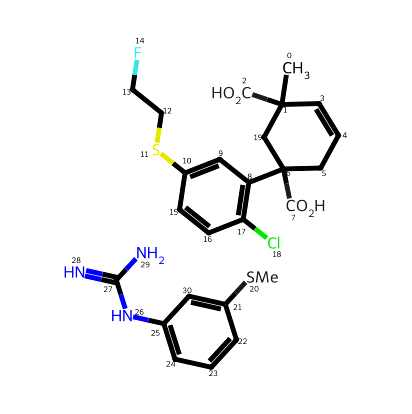 CC1(C(=O)O)C=CCC(C(=O)O)(c2cc(SCCF)ccc2Cl)C1.CSc1cccc(NC(=N)N)c1